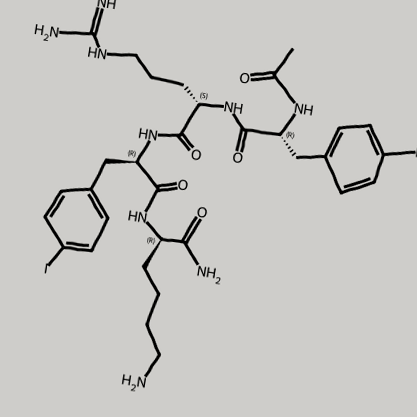 CC(=O)N[C@H](Cc1ccc(I)cc1)C(=O)N[C@@H](CCCNC(=N)N)C(=O)N[C@H](Cc1ccc(I)cc1)C(=O)N[C@H](CCCCN)C(N)=O